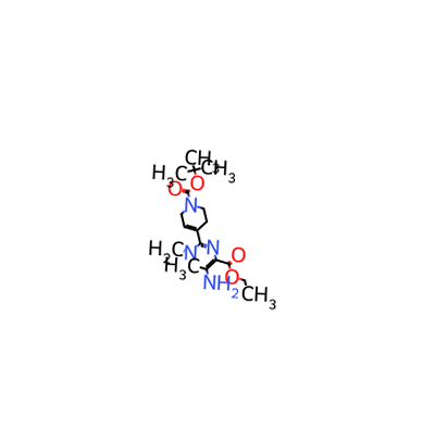 C=N/C(=N\C(C(=O)OCC)=C(/C)N)C1=CCN(C(=O)OC(C)(C)C)CC1